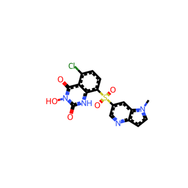 Cn1ccc2ncc(S(=O)(=O)c3ccc(Cl)c4c(=O)n(O)c(=O)[nH]c34)cc21